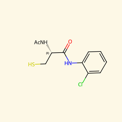 CC(=O)N[C@@H](CS)C(=O)Nc1ccccc1Cl